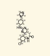 O=C1Cc2cnc(Nc3ccc(-n4ccnc4)cc3)nc2-c2ccc(Cl)cc2N1